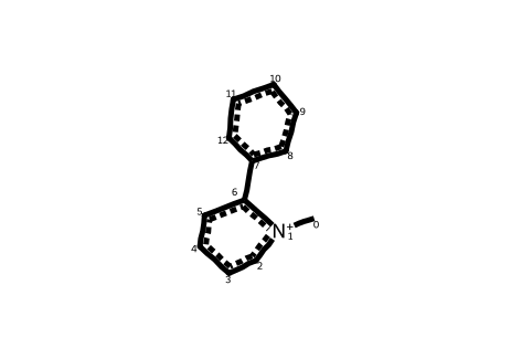 C[n+]1ccc[c]c1-c1ccccc1